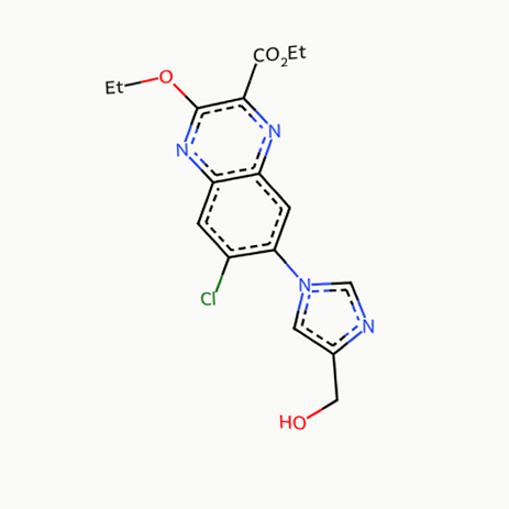 CCOC(=O)c1nc2cc(-n3cnc(CO)c3)c(Cl)cc2nc1OCC